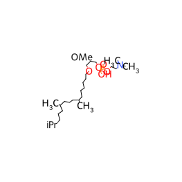 COC(COCCCCCCC(C)CCCC(C)CCCC(C)C)COP(=O)(O)OCCN(C)C